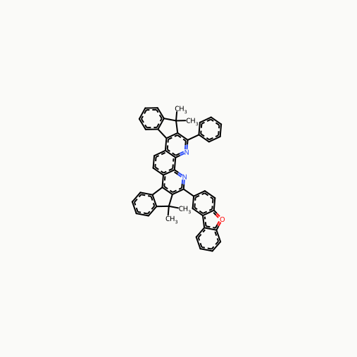 CC1(C)c2ccccc2-c2c1c(-c1ccccc1)nc1c2ccc2c3c(c(-c4ccc5oc6ccccc6c5c4)nc21)C(C)(C)c1ccccc1-3